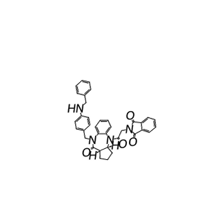 O=C1c2ccccc2C(=O)N1CC(=O)N1c2ccccc2N(Cc2ccc(NCc3ccccc3)cc2)C(=O)[C@H]2CCC[C@H]21